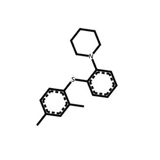 Cc1ccc(Sc2ccccc2N2CCCCC2)c(C)c1